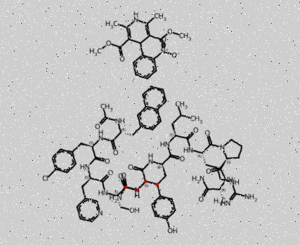 CC(=O)N[C@H](Cc1ccc2ccccc2c1)C(=O)N[C@H](Cc1ccc(Cl)cc1)C(=O)N[C@H](Cc1cccnc1)C(=O)N[C@@H](CO)C(=O)N[C@@H](Cc1ccc(O)cc1)C(=O)N[C@H](CCCNC(N)=O)C(=O)N[C@@H](CC(C)C)C(=O)N[C@@H](CCCNC(=N)N)C(=O)N1CCC[C@H]1C(=O)N[C@H](C)C(N)=O.COC(=O)C1=C(C)NC(C)=C(C(=O)OC)C1c1ccccc1[N+](=O)[O-]